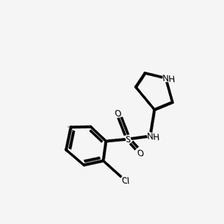 O=S(=O)(NC1CCNC1)c1c[c]ccc1Cl